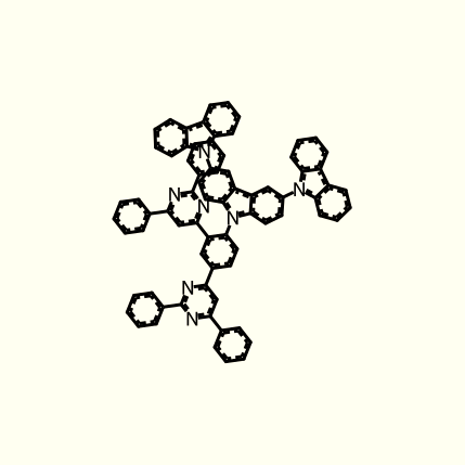 c1ccc(-c2cc(-c3ccc(-n4c5ccc(-n6c7ccccc7c7ccccc76)cc5c5cc(-n6c7ccccc7c7ccccc76)ccc54)c(-c4cc(-c5ccccc5)nc(-c5ccccc5)n4)c3)nc(-c3ccccc3)n2)cc1